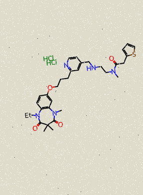 CCN1C(=O)C(C)(C)C(=O)N(C)c2cc(OCCCc3cc(CNCCN(C)C(=O)Cc4cccs4)ccn3)ccc21.Cl.Cl